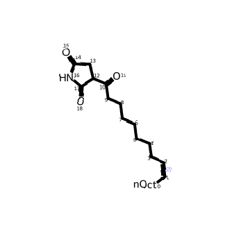 CCCCCCCC/C=C\CCCCCCCC(=O)C1CC(=O)NC1=O